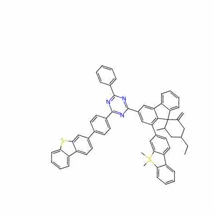 C=C1CC(CC)CC(C)C12c1ccccc1-c1cc(-c3nc(-c4ccccc4)nc(-c4ccc(-c5ccc6c(c5)sc5ccccc56)cc4)n3)cc(-c3ccc4c(c3)S(C)(C)c3ccccc3-4)c12